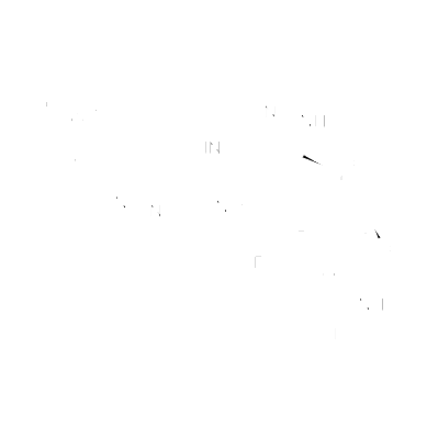 CC(C)NC(=O)O[C@@H]1CO[C@H](c2cc(Nc3nc(C(F)F)cn4nc(COC(F)(F)F)cc34)n[nH]2)[C@H]1F